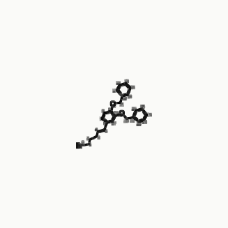 BrCCCC=Cc1ccc(OCc2ccccc2)c(OCc2ccccc2)c1